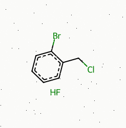 ClCc1ccccc1Br.F